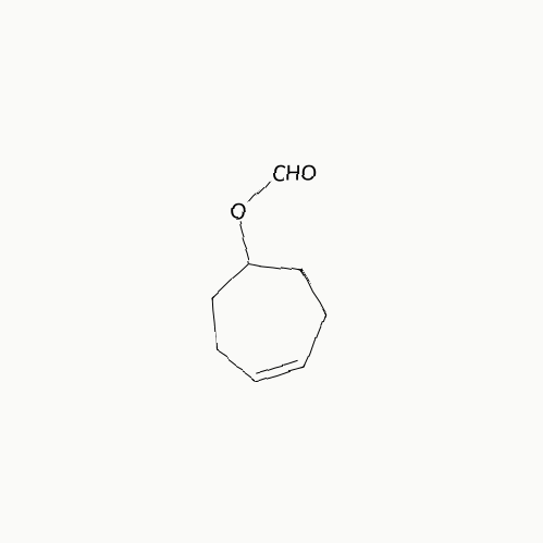 O=COC1CCC=CCC1